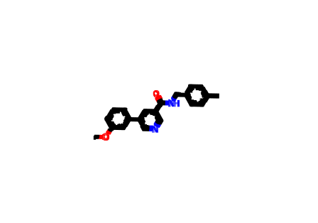 COc1cccc(-c2cncc(C(=O)NCc3ccc(C)cc3)c2)c1